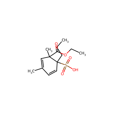 CCCC1(S(=O)(=O)O)C=CC(C)=CC1(C)C(=O)OCC